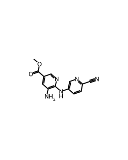 COC(=O)c1cnc(Nc2ccc(C#N)nc2)c(N)c1